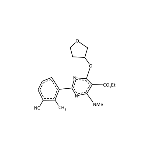 CCOC(=O)c1c(NC)nc(-c2cccc(C#N)c2C)nc1OC1CCOC1